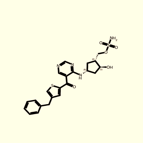 NS(=O)(=O)OC[C@H]1C[C@@H](Nc2ncncc2C(=O)c2cc(Cc3ccccc3)cs2)C[C@@H]1O